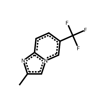 Cc1cn2cc(C(F)(F)F)ccc2n1